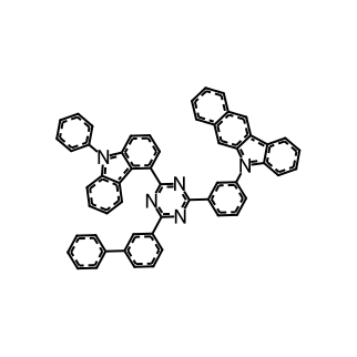 c1ccc(-c2cccc(-c3nc(-c4cccc(-n5c6ccccc6c6cc7ccccc7cc65)c4)nc(-c4cccc5c4c4ccccc4n5-c4ccccc4)n3)c2)cc1